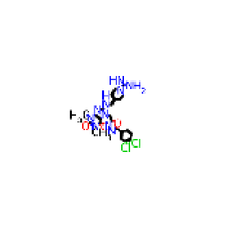 Cn1c(=O)c2c(nc(NCC3CCN(C(=N)N)CC3)n2Cc2nnc(-c3ccc(Cl)c(Cl)c3)o2)n(C)c1=O